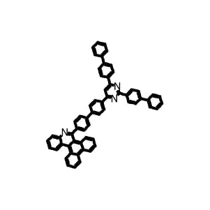 c1ccc(-c2ccc(-c3cc(-c4ccc(-c5ccc(-c6nc7ccccc7c7c8ccccc8c8ccccc8c67)cc5)cc4)nc(-c4ccc(-c5ccccc5)cc4)n3)cc2)cc1